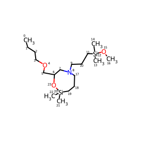 CCCCOCC1CN(CCC[Si](C)(C)OC)CCC[Si](C)(C)O1